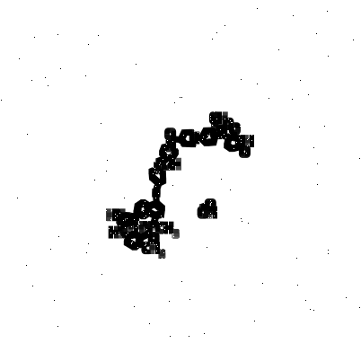 Cc1ccc(N[C@H]2CNCC2(F)F)cc1C(=O)N[C@H](C)c1ccc(C#CC2CCN(CC3(O)CCN(C(=O)C4CCN(c5ccc6c(c5)n(C)c(=O)n6C5CCC(=O)NC5=O)CC4)CC3)CC2)c2ccccc12.O=CO